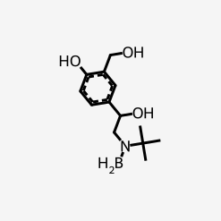 BN(CC(O)c1ccc(O)c(CO)c1)C(C)(C)C